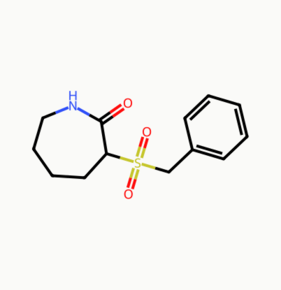 O=C1NCCCCC1S(=O)(=O)Cc1ccccc1